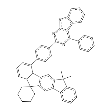 CC1(C)c2ccccc2-c2cc3c(cc21)C1C(c2ccc(-c4nc(-c5ccccc5)c5c(n4)sc4ccccc45)cc2)=CC=CC1C31CCCCC1